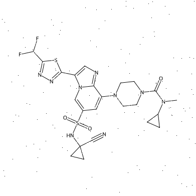 CN(C(=O)N1CCN(c2cc(S(=O)(=O)NC3(C#N)CC3)cn3c(-c4nnc(C(F)F)s4)cnc23)CC1)C1CC1